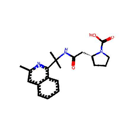 Cc1cc2ccccc2c(C(C)(C)NC(=O)C[C@H]2CCCN2C(=O)O)n1